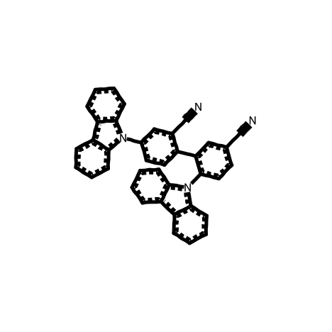 N#Cc1ccc(-n2c3ccccc3c3ccccc32)c(-c2ccc(-n3c4ccccc4c4ccccc43)cc2C#N)c1